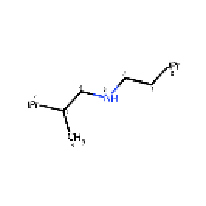 CC(C)CCNCC(C)C(C)C